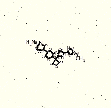 CCn1cnc(-c2nc(C3(c4ccc(-c5cnc(N)nc5)cc4)CCC3)no2)c1